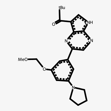 COCOc1cc(-c2cnc3[nH]cc(C(=O)C(C)(C)C)c3n2)cc(N2CCCC2)c1